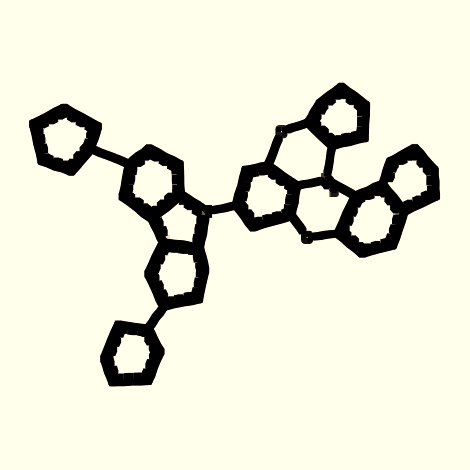 S=P12c3ccccc3Oc3cc(-n4c5ccc(-c6ccccc6)cc5c5cc(-c6ccccc6)ccc54)cc(c31)Oc1ccc3ccccc3c12